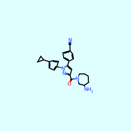 N#Cc1ccc(-c2cc(C(=O)N3CCCCC(N)C3)nn2-c2ccc(C3CC3)cc2)cc1